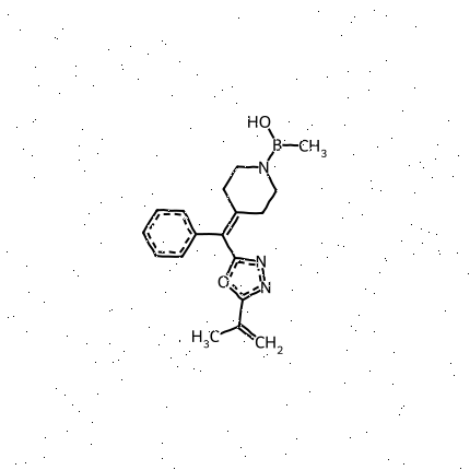 C=C(C)c1nnc(C(=C2CCN(B(C)O)CC2)c2ccccc2)o1